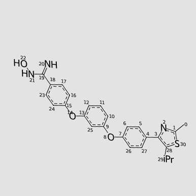 Cc1nc(-c2ccc(Oc3cccc(Oc4ccc(C(=N)NO)cc4)c3)cc2)c(C(C)C)s1